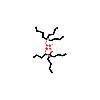 CCCC[Si](CCCC)(CCCC)OS(=O)(=O)O[Si](CCCC)(CCCC)CCCC